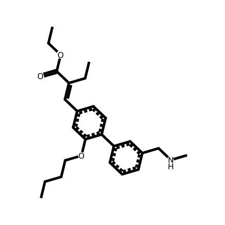 CCCCOc1cc(/C=C(\CC)C(=O)OCC)ccc1-c1cccc(CNC)c1